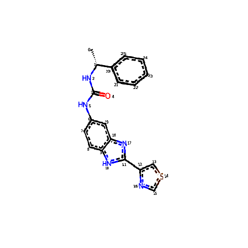 C[C@@H](NC(=O)Nc1ccc2[nH]c(-c3cscn3)nc2c1)c1ccccc1